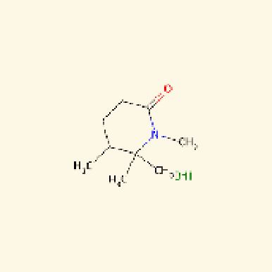 Br.CC1CCC(=O)N(C)C1(C)C